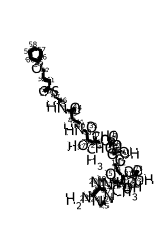 CC(C)(COP(=O)(O)OP(=O)(O)OCC1OC(C)(n2cnc3c(N)ncnc32)C(O)C1OP(=O)(O)O)C(O)C(=O)NCCC(=O)NCCSC(=O)C=CCOc1ccccc1